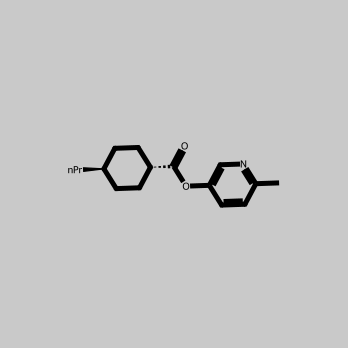 CCC[C@H]1CC[C@H](C(=O)Oc2ccc(C)nc2)CC1